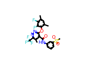 Cc1cc(C)c(Oc2nnc(C(F)(F)F)c(C)c2C(=O)Nc2cccc(S(C)(=O)=O)c2)c(F)c1F